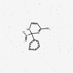 NC1=NC(c2ccccc2)([N+](=O)[O-])NC=C1